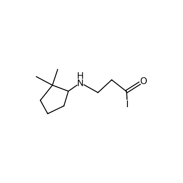 CC1(C)CCCC1NCCC(=O)I